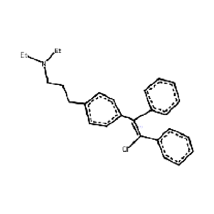 CCN(CC)CCCc1ccc(/C(=C(\Cl)c2ccccc2)c2ccccc2)cc1